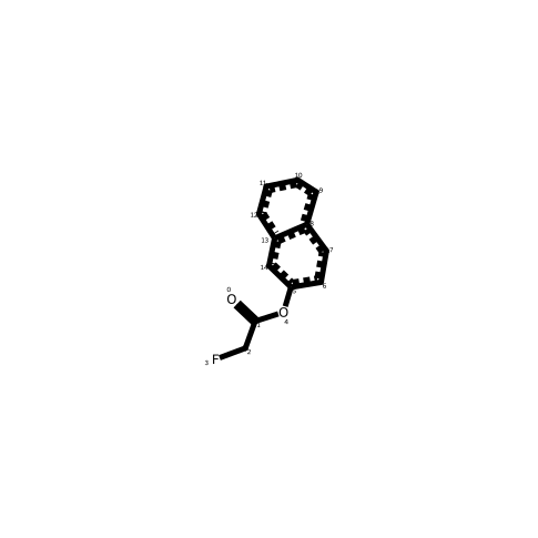 O=C(CF)Oc1ccc2ccccc2c1